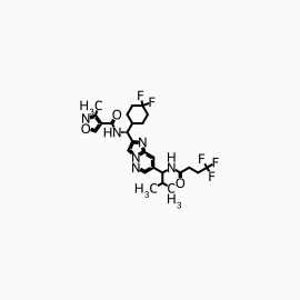 Cc1nocc1C(=O)N[C@H](c1cn2ncc(C(NC(=O)CCC(F)(F)F)C(C)C)cc2n1)C1CCC(F)(F)CC1